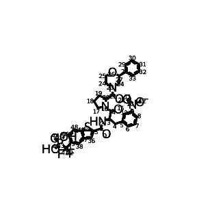 O=C(NC(Cc1cccc([N+](=O)[O-])c1)C(=O)N1CCCC1C(=O)N1CCOC(c2ccccc2)C1)c1cc2cc(C(F)(F)P(=O)(O)O)ccc2s1